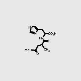 COC(=O)CC(C)C(=O)N[C@@H](Cc1c[nH]cn1)C(=O)O